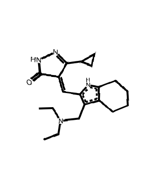 CCN(CC)Cc1c(C=C2C(=O)NN=C2C2CC2)[nH]c2c1CCCC2